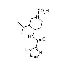 CN(C)C1CN(C(=O)O)CCC1NC(=O)c1ncc[nH]1